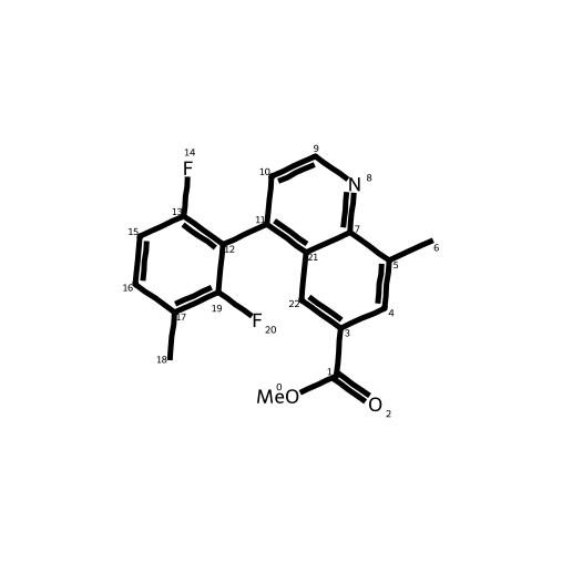 COC(=O)c1cc(C)c2nccc(-c3c(F)ccc(C)c3F)c2c1